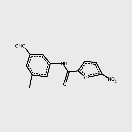 Cc1cc(C=O)cc(NC(=O)c2ccc([N+](=O)[O-])o2)c1